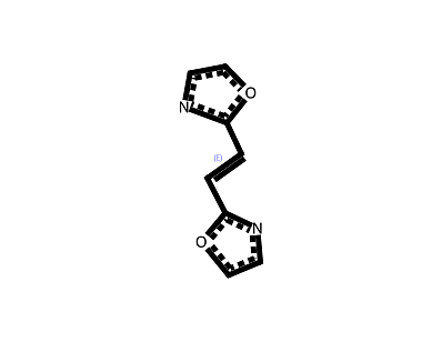 C(=C\c1ncco1)/c1ncco1